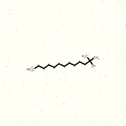 CCC(C)(C)CCCCCCCCCCC(=O)O